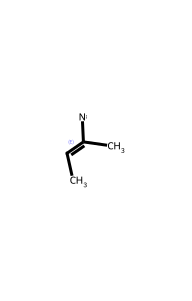 C/C=C(\C)[N]